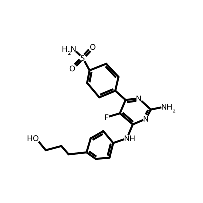 Nc1nc(Nc2ccc(CCCO)cc2)c(F)c(-c2ccc(S(N)(=O)=O)cc2)n1